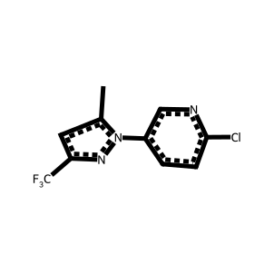 Cc1cc(C(F)(F)F)nn1-c1ccc(Cl)nc1